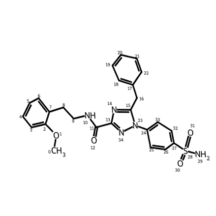 COc1ccccc1CCNC(=O)c1nc(Cc2ccccc2)n(-c2ccc(S(N)(=O)=O)cc2)n1